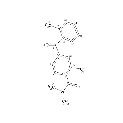 CN(C)C(=O)c1ccc(C(=O)c2ccccc2C(F)(F)F)cc1Cl